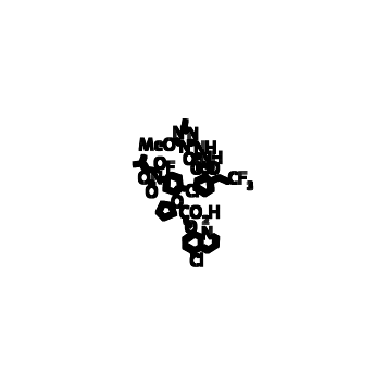 CC(C)=C1OC(=O)N(c2cc(OC3CCCC3)c(Cl)cc2F)C1=O.COc1nc(C)nc(NC(=O)NS(=O)(=O)c2ccccc2CCC(F)(F)F)n1.O=C(O)COc1ccc(Cl)c2cccnc12